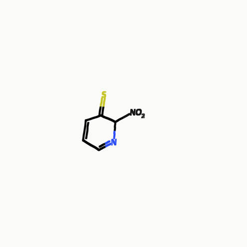 O=[N+]([O-])C1N=CC=CC1=S